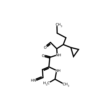 CCCC(C1CC1)C(C=O)NC(=O)/C(=C/C=N)NC(C)C